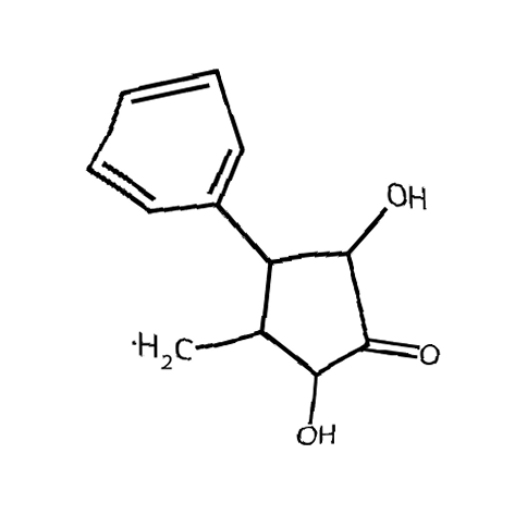 [CH2]C1C(O)C(=O)C(O)C1c1ccccc1